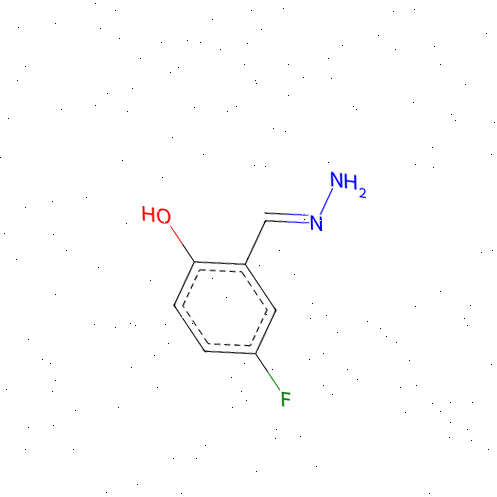 NN=Cc1cc(F)ccc1O